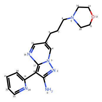 Nc1nn2cc(CCCN3CCOCC3)cnc2c1-c1ccccn1